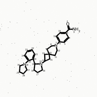 NC(=O)c1ccc(N2CCC3(CC2)CC(N2CCCC2c2ccccc2N2CCCC2)C3)cc1